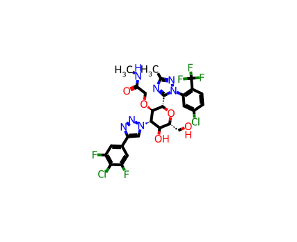 CNC(=O)CO[C@H]1[C@H](c2nc(C)nn2-c2cc(Cl)ccc2C(F)(F)F)O[C@H](CO)C(O)[C@@H]1n1cc(-c2cc(F)c(Cl)c(F)c2)nn1